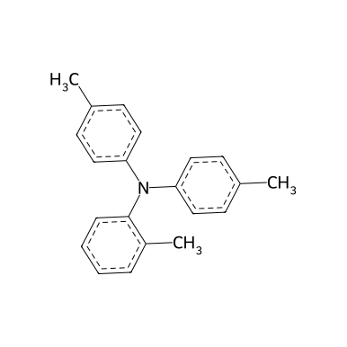 Cc1ccc(N(c2ccc(C)cc2)c2ccccc2C)cc1